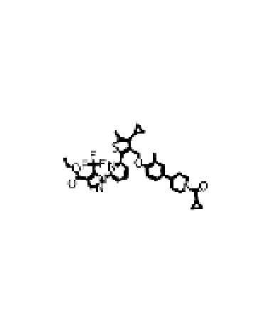 CCOC(=O)c1cnn(-c2cccc(-c3sc(C)c(C4CC4)c3COc3ccc(C4CCN(C(=O)C5CC5)CC4)cc3C)n2)c1C(F)(F)F